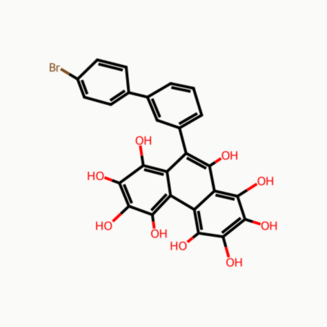 Oc1c(O)c(O)c2c(c1O)c(O)c(-c1cccc(-c3ccc(Br)cc3)c1)c1c(O)c(O)c(O)c(O)c12